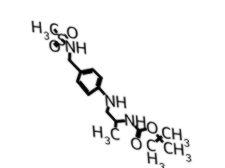 CC(CNc1ccc(CNS(C)(=O)=O)cc1)NC(=O)OC(C)(C)C